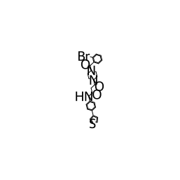 O=C(CC(=O)N1CCN(C(=O)c2ccccc2Br)CC1)Nc1ccc(-c2ccsc2)cc1